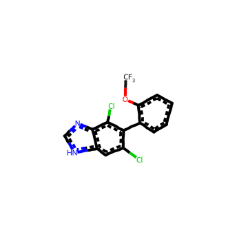 FC(F)(F)Oc1ccccc1-c1c(Cl)cc2[nH]cnc2c1Cl